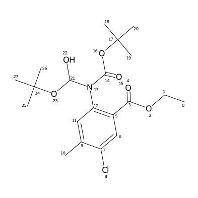 CCOC(=O)c1cc(Cl)c(C)cc1N(C(=O)OC(C)(C)C)C(O)OC(C)(C)C